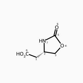 O=C(O)C[C@H]1COC(=O)N1